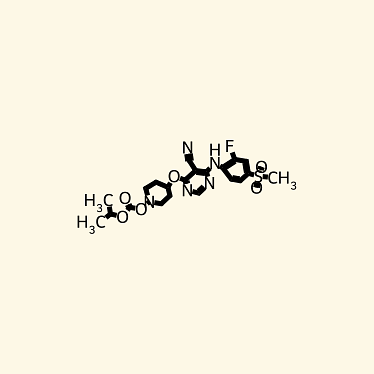 CC(C)OC(=O)ON1CCC(Oc2ncnc(Nc3ccc(S(C)(=O)=O)cc3F)c2C#N)CC1